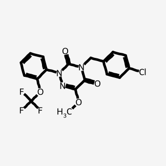 COc1nn(-c2ccccc2OC(F)(F)F)c(=O)n(Cc2ccc(Cl)cc2)c1=O